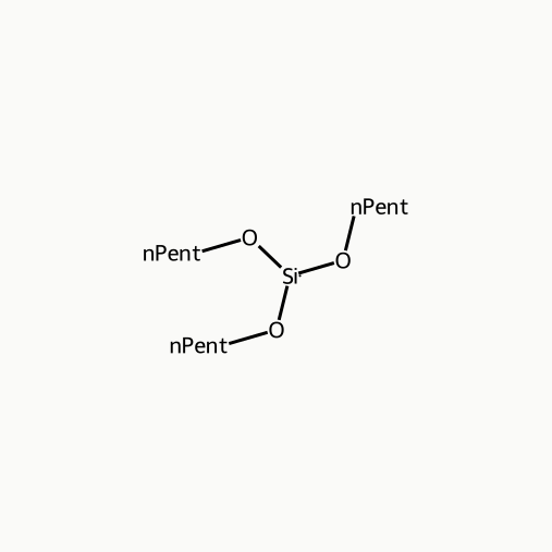 CCCCCO[Si](OCCCCC)OCCCCC